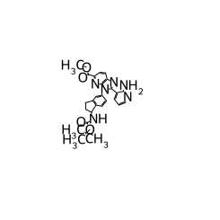 COC(=O)c1ccc2nc(-c3cccnc3N)n(-c3ccc4c(c3)CC[C@@H]4NC(=O)OC(C)(C)C)c2n1